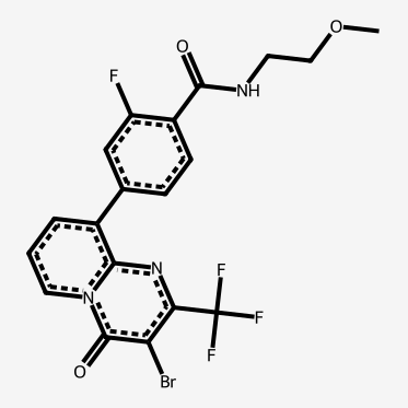 COCCNC(=O)c1ccc(-c2cccn3c(=O)c(Br)c(C(F)(F)F)nc23)cc1F